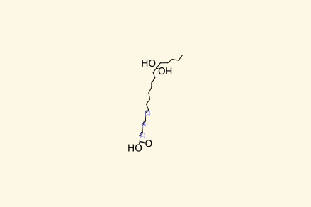 CCCCCC(O)(O)CCCCCCC/C=C/C=C/C=C/C(=O)O